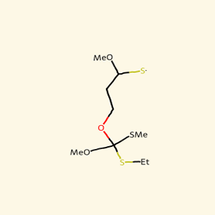 CCSC(OC)(OCCC([S])OC)SC